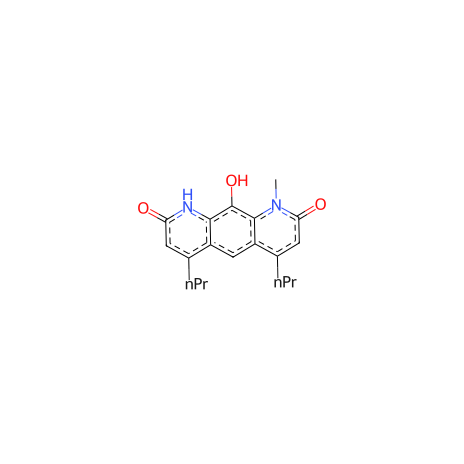 CCCc1cc(=O)[nH]c2c(O)c3c(cc12)c(CCC)cc(=O)n3C